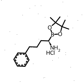 CC1(C)OB([C@@H](N)CCCc2ccccc2)OC1(C)C.Cl